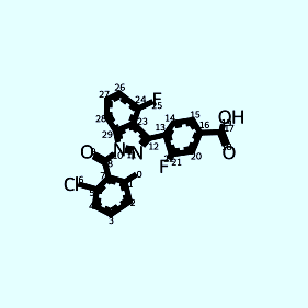 Cc1cccc(Cl)c1C(=O)n1nc(-c2ccc(C(=O)O)cc2F)c2c(F)cccc21